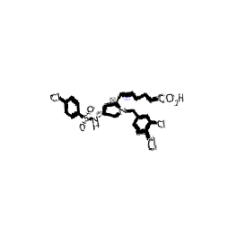 O=C(O)CCC/C=C\[C@@H]1C[C@@H](NS(=O)(=O)c2ccc(Cl)cc2)CN1Cc1ccc(Cl)c(Cl)c1